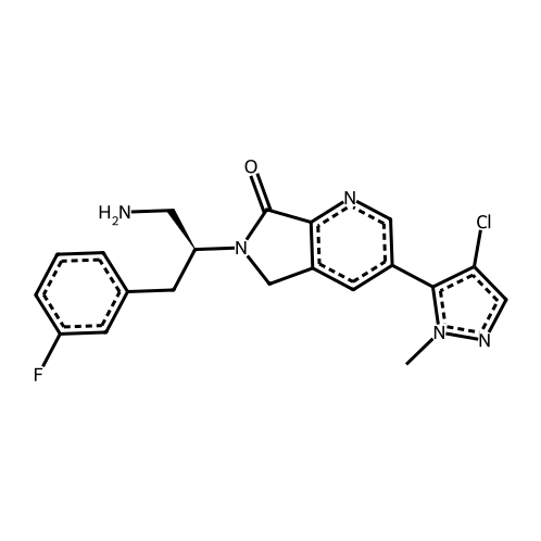 Cn1ncc(Cl)c1-c1cnc2c(c1)CN([C@H](CN)Cc1cccc(F)c1)C2=O